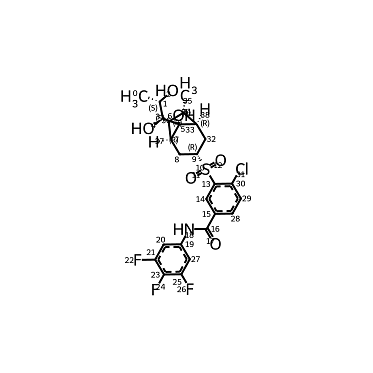 C[C@H](O)[C@H](O)[C@@]1(O)[C@H]2C[C@@H](S(=O)(=O)c3cc(C(=O)Nc4cc(F)c(F)c(F)c4)ccc3Cl)C[C@@H]1[C@@H](C)C2